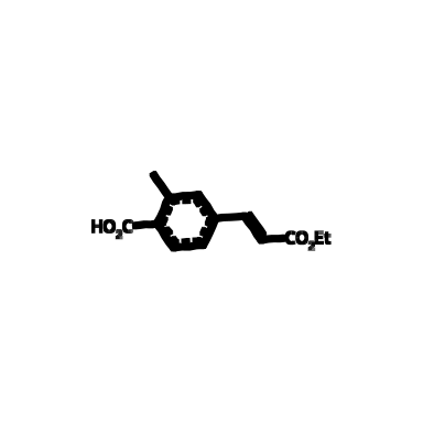 CCOC(=O)C=Cc1ccc(C(=O)O)c(C)c1